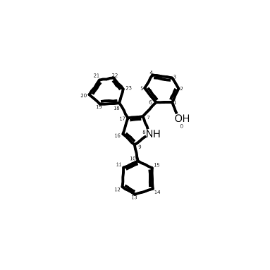 Oc1ccccc1-c1[nH]c(-c2ccccc2)cc1-c1ccccc1